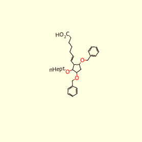 CCCCCCCOC1C(OCc2ccccc2)CC(OCc2ccccc2)C1/C=C/CCCCC(=O)O